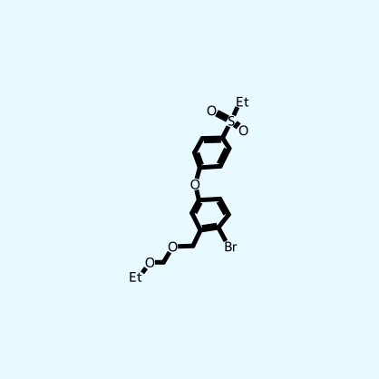 CCOCOCc1cc(Oc2ccc(S(=O)(=O)CC)cc2)ccc1Br